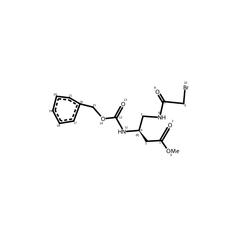 COC(=O)C[C@H](CNC(=O)CBr)NC(=O)OCc1ccccc1